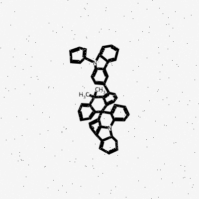 CC1(C)c2ccccc2C2(c3ccccc3N3c4c(cccc42)C2=CC=CCC23)c2cccc(-c3ccc4c(c3)c3ccccc3n4-c3ccccc3)c21